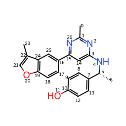 Cc1nc(N[C@H](C)c2ccc(O)cc2)cc(-c2ccc3occ(C)c3c2)n1